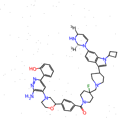 [2H]C1C=CN(c2ccc3c(C4CCN(CC5(F)CCN(C(=O)c6ccc(C7CN(c8cc(-c9ccccc9O)nnc8N)CCO7)cc6)CC5)CC4)cn(C4CCC4)c3c2)[C@H]([2H])N1